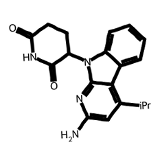 CC(C)c1cc(N)nc2c1c1ccccc1n2C1CCC(=O)NC1=O